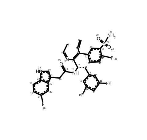 C=C/C(=C(\N=C/C)[C@H](Cc1cc(F)cc(F)c1)NC(=O)Cc1c[nH]c2ccc(F)cc12)c1ccc(F)c(S(N)(=O)=O)c1